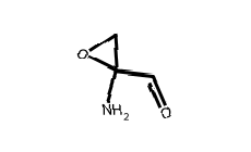 NC1(C=O)CO1